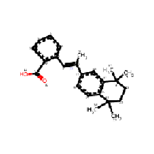 C/C(=C\c1ccccc1C(=O)O)c1ccc2c(c1)C(C)(C)CCC2(C)C